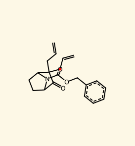 C=CCC1(CC=C)C(=O)C2CCC1N2C(=O)OCc1ccccc1